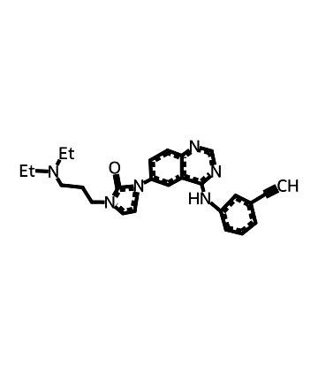 C#Cc1cccc(Nc2ncnc3ccc(-n4ccn(CCCN(CC)CC)c4=O)cc23)c1